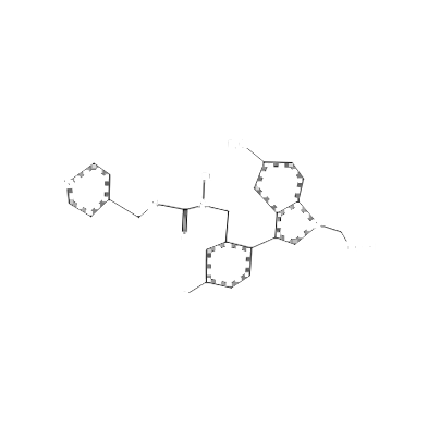 CCN(Cc1cc(F)ccc1-c1cn(CC(=O)O)c2ccc(C(F)(F)F)cc12)C(=O)NCc1ccncc1